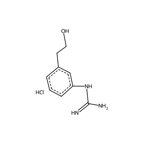 Cl.N=C(N)Nc1cccc(CCO)c1